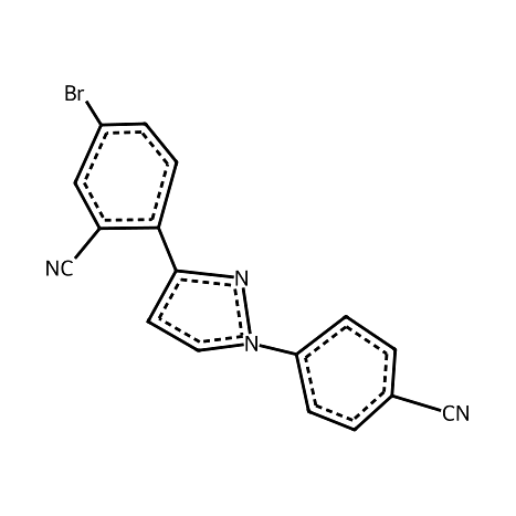 N#Cc1ccc(-n2ccc(-c3ccc(Br)cc3C#N)n2)cc1